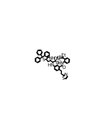 CC[C@H](C(C)=O)c1ccccc1NC(=O)c1cc(NC(C(=O)OC(C)(C)C)C2CC(SC(c3ccccc3)(c3ccccc3)c3ccccc3)CN2)ccc1CCc1nccs1